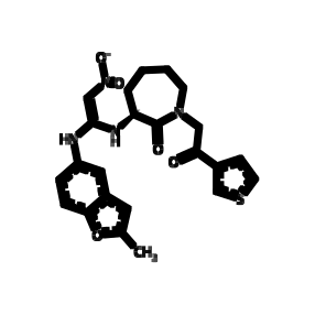 Cc1cc2cc(N/C(=C/[N+](=O)[O-])N[C@H]3CCCCN(CC(=O)c4ccsc4)C3=O)ccc2o1